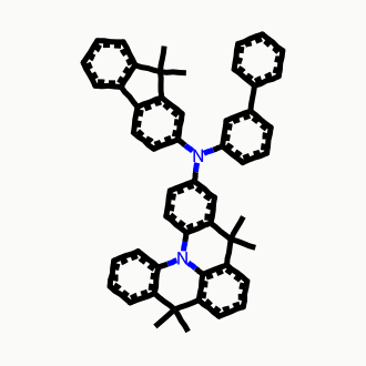 CC1(C)c2ccccc2-c2ccc(N(c3cccc(-c4ccccc4)c3)c3ccc4c(c3)C(C)(C)c3cccc5c3N4c3ccccc3C5(C)C)cc21